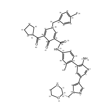 Nc1ncc(-c2cnn(C[C@H]3COCCO3)c2)cc1-c1ccc(NC(=O)c2cn(Cc3ccc(F)cc3)cc(C(=O)N3CCCC3)c2=O)cc1F